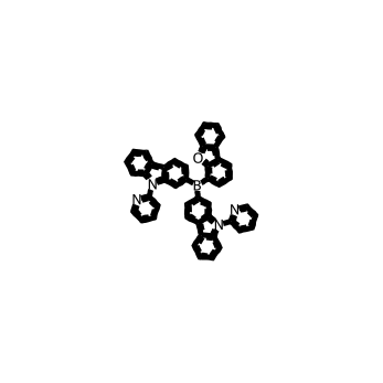 c1ccc(-n2c3ccccc3c3ccc(B(c4ccc5c6ccccc6n(-c6ccccn6)c5c4)c4cccc5c4oc4ccccc45)cc32)nc1